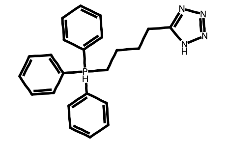 c1ccc([PH](CCCCc2nnn[nH]2)(c2ccccc2)c2ccccc2)cc1